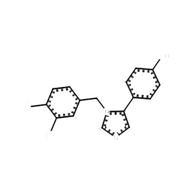 Oc1ccc(-c2cncn2Cc2ccc(Cl)c(Cl)c2)cc1